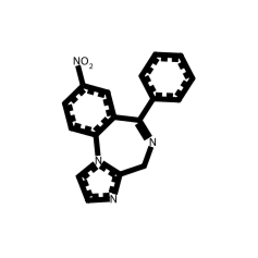 O=[N+]([O-])c1ccc2c(c1)C(c1ccccc1)=NCc1nccn1-2